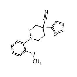 COc1ccccc1N1CCC(C#N)(c2cccs2)CC1